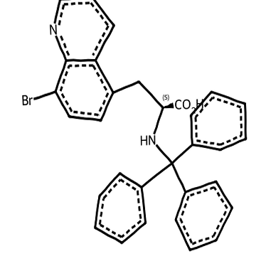 O=C(O)[C@H](Cc1ccc(Br)c2ncccc12)NC(c1ccccc1)(c1ccccc1)c1ccccc1